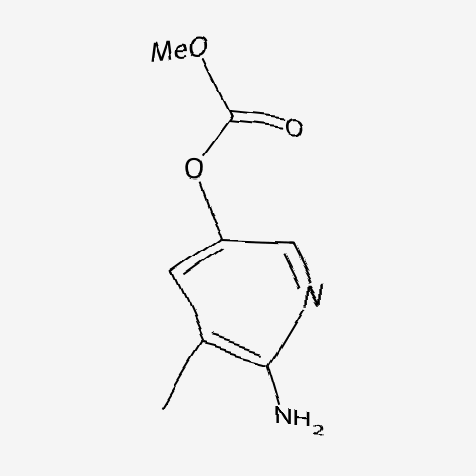 COC(=O)Oc1cnc(N)c(C)c1